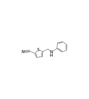 N#Cc1ccc(CNc2ccccc2)s1